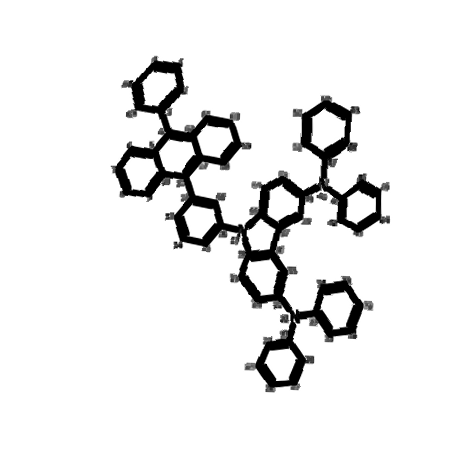 c1ccc(-c2c3ccccc3c(-c3cccc(-n4c5ccc(N(c6ccccc6)c6ccccc6)cc5c5cc(N(c6ccccc6)c6ccccc6)ccc54)c3)c3ccccc23)cc1